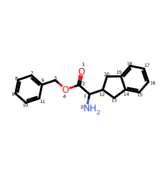 NC(C(=O)OCc1ccccc1)C1Cc2ccccc2C1